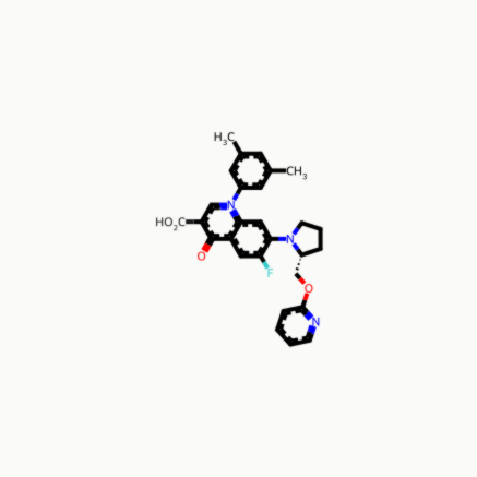 Cc1cc(C)cc(-n2cc(C(=O)O)c(=O)c3cc(F)c(N4CCC[C@@H]4COc4ccccn4)cc32)c1